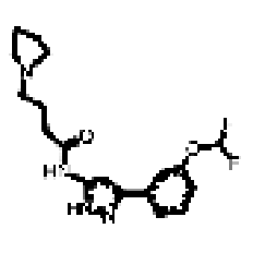 O=C(CCCN1CCCC1)Nc1cc(-c2cccc(OC(F)F)c2)n[nH]1